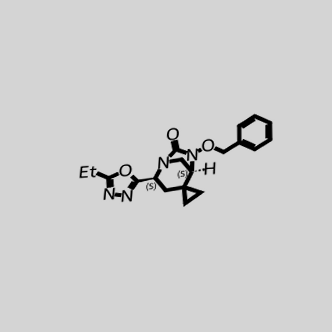 CCc1nnc([C@@H]2CC3(CC3)[C@H]3CN2C(=O)N3OCc2ccccc2)o1